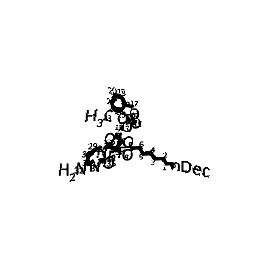 CCCCCCCCCCCCCCCCC(=O)O[C@@H]1[C@@H](COP2(=O)OCc3cccc(C)c3O2)O[C@@H](n2ccc(N)nc2=O)C1(F)F